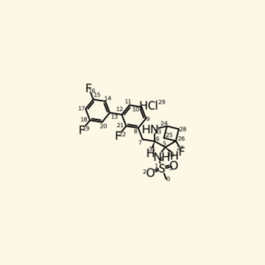 CS(=O)(=O)N[C@@H]1[C@H](Cc2cccc(-c3cc(F)cc(F)c3)c2F)NC2CC1(F)C2.Cl